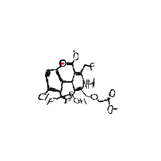 COC(=O)COCC1=C(C(=O)O)C(c2c(F)ccc(Cl)c2C(F)(F)F)C(C(=O)OC)=C(CF)N1